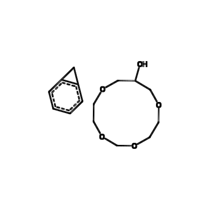 OC1COCCOCOCCOC1.c1ccc2c(c1)C2